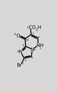 O=C(O)c1c[nH]n2cc(Br)nc2c1=O